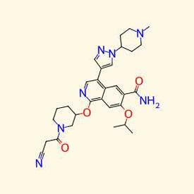 CC(C)Oc1cc2c(OC3CCCN(C(=O)CC#N)C3)ncc(-c3cnn(C4CCN(C)CC4)c3)c2cc1C(N)=O